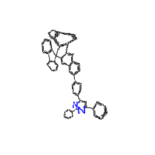 c1ccc(-c2cc(-c3ccc(-c4ccc5cc6c(cc5c4)C4(c5ccccc5-c5ccccc54)c4c-6ccc5ccccc45)cc3)nc(-c3ccccc3)n2)cc1